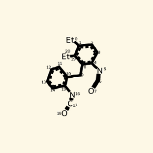 CCc1ccc(N=C=O)c(Cc2ccccc2N=C=O)c1CC